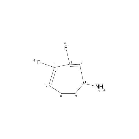 NC1C=C(F)C(F)=CCC1